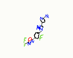 CN(C)Cc1ccc(-c2cn(Cc3ccc(-c4nnc(C(F)F)o4)cc3F)nn2)cn1